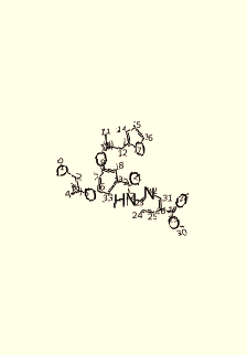 COC[C@H](C)Oc1cc(O[C@@H](C)Cc2ccco2)cc(C(=O)Nc2ccc(C(=O)OC)cn2)c1